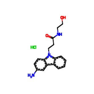 Cl.Nc1ccc2c(c1)c1ccccc1n2CCC(=O)NCCO